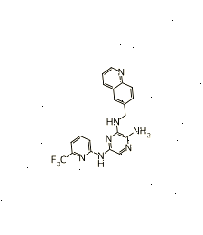 Nc1ncc(Nc2cccc(C(F)(F)F)n2)nc1NCc1ccc2ncccc2c1